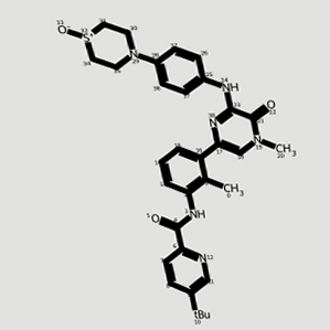 Cc1c(NC(=O)c2ccc(C(C)(C)C)cn2)cccc1-c1cn(C)c(=O)c(Nc2ccc(N3CC[S+]([O-])CC3)cc2)n1